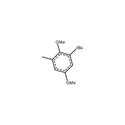 COc1cc(C)c(OC)c(C(C)(C)C)c1